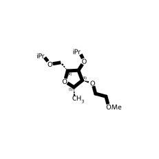 COCCO[C@H]1C(OC(C)C)[C@@H](COC(C)C)O[C@H]1C